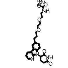 CC(C)(C)OC(=O)NCCOCCOCCCc1ccc2c(c1)c1cccnc1n2C1CCC(=O)NC1=O